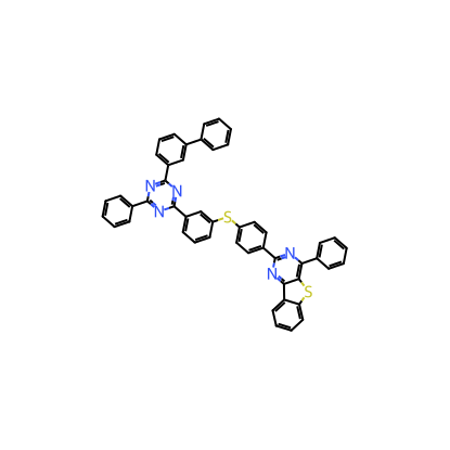 c1ccc(-c2cccc(-c3nc(-c4ccccc4)nc(-c4cccc(Sc5ccc(-c6nc(-c7ccccc7)c7sc8ccccc8c7n6)cc5)c4)n3)c2)cc1